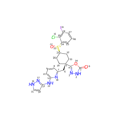 O=c1[nH]nc([C@]2(Cc3cccc(Nc4cc[nH]n4)n3)CC[C@@H]([S+]([O-])c3cccc(I)c3Cl)CC2)o1